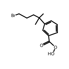 CC(C)(CCCBr)c1cccc(C(=O)OO)c1